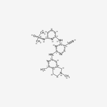 Cc1nc(Nc2ncc(C#N)c(Nc3cccc(N=S(C)(C)=O)n3)n2)cc2c1CCN(C)C2